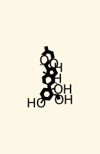 CC1CC[C@@]2(OC1)O[C@H]1C[C@H]3[C@H](CO)[C@@H]([C@@]4(C)CC[C@H](O)C[C@@H]4CO)CC[C@]3(C)C1[C@@H]2C